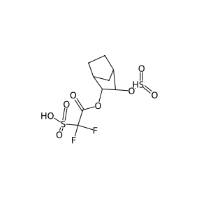 O=C(OC1C2CCC(C2)C1O[SH](=O)=O)C(F)(F)S(=O)(=O)O